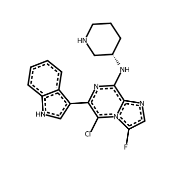 Fc1cnc2c(N[C@H]3CCCNC3)nc(-c3c[nH]c4ccccc34)c(Cl)n12